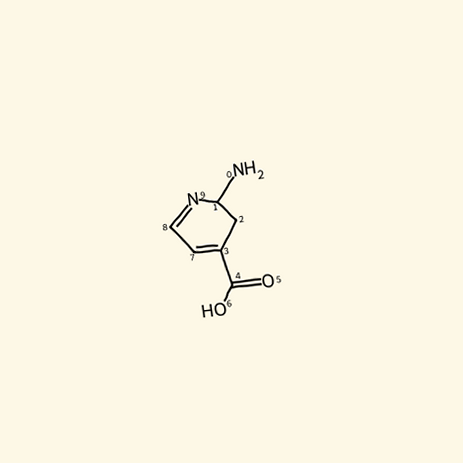 NC1CC(C(=O)O)=CC=N1